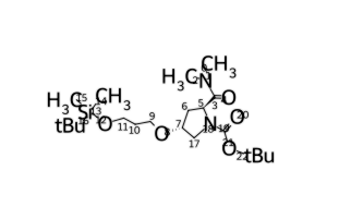 CN(C)C(=O)[C@@H]1C[C@@H](OCCCO[Si](C)(C)C(C)(C)C)CN1C(=O)OC(C)(C)C